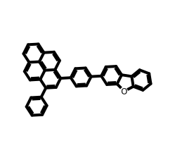 c1ccc(-c2cc(-c3ccc(-c4ccc5c(c4)oc4ccccc45)cc3)c3ccc4cccc5ccc2c3c54)cc1